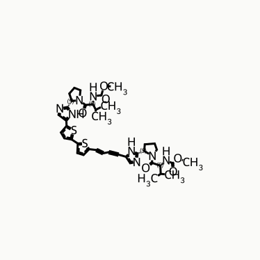 COC(=O)N[C@H](C(=O)N1CCC[C@H]1c1ncc(C#CC#Cc2ccc(-c3ccc(-c4cnc([C@@H]5CCCN5C(=O)[C@@H](NC(=O)OC)C(C)C)[nH]4)s3)s2)[nH]1)C(C)C